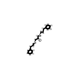 O=C(CSCCCc1ccccc1)CSCCCc1ccccc1